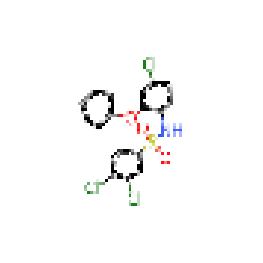 O=S(=O)(Nc1ccc(Cl)cc1Oc1ccccc1)c1ccc(Cl)c(Cl)c1